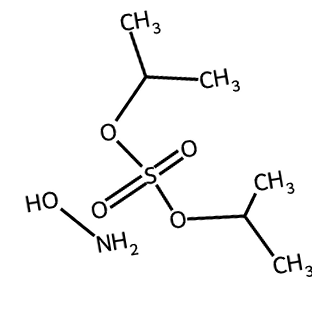 CC(C)OS(=O)(=O)OC(C)C.NO